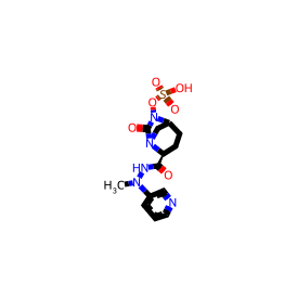 CN(NC(=O)[C@@H]1CCC2CN1C(=O)N2OS(=O)(=O)O)c1cccnc1